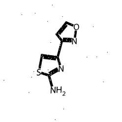 Nc1nc(-c2ccon2)cs1